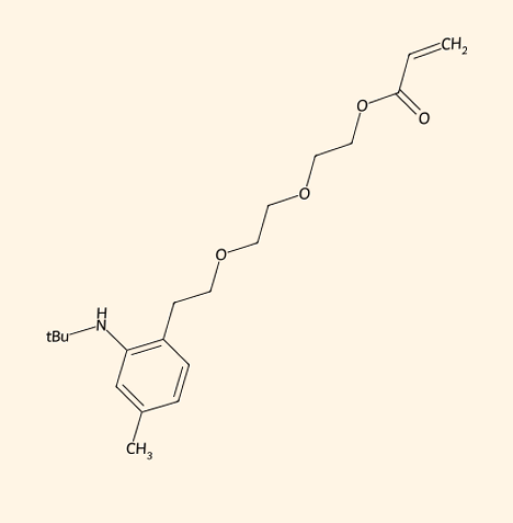 C=CC(=O)OCCOCCOCCc1ccc(C)cc1NC(C)(C)C